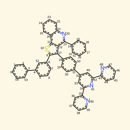 c1ccc(-c2cccc(-c3sc4c(c(-c5ccccc5)nc5ccccc54)c3-c3ccc(-c4cc(-c5ccccn5)nc(-c5ccccn5)c4)cc3)c2)cc1